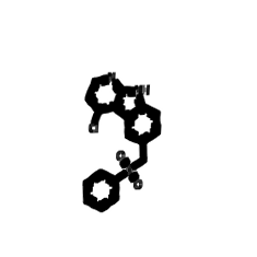 O=S(=O)(Cc1ccc2[nH]c3nccc(Cl)c3c2c1)c1ccccc1